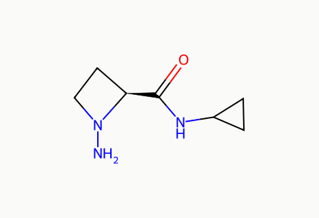 NN1CC[C@H]1C(=O)NC1CC1